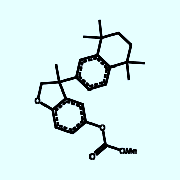 COC(=O)Oc1ccc2c(c1)C(C)(c1ccc3c(c1)C(C)(C)CCC3(C)C)CO2